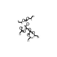 CCOP(OCC)OCC(OC(C)=O)OP(OCC)OCC